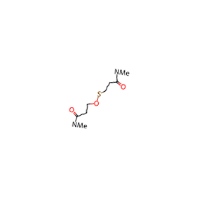 CNC(=O)CCOSCCC(=O)NC